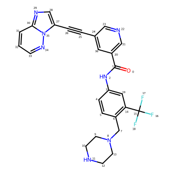 O=C(Nc1ccc(CN2CCNCC2)c(C(F)(F)F)c1)c1cncc(C#Cc2cnc3cccnn23)c1